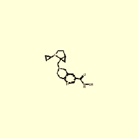 O=C(NO)c1cnc2c(c1)CN(CC13CC1CCN3C1CC1)CC2